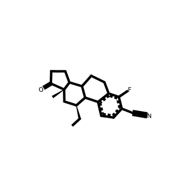 CC[C@H]1C[C@]2(C)C(=O)CCC2C2CCc3c(ccc(C#N)c3F)C21